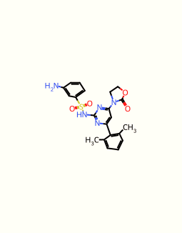 Cc1cccc(C)c1-c1cc(N2CCOC2=O)nc(NS(=O)(=O)c2cccc(N)c2)n1